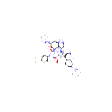 CC(c1ccnc2cc(N3CCCCC3)ccc12)C1(C(C)c2ccnc3cc(N4CCCCC4)ccc23)NC(=O)N(c2ccc(SC(F)(F)F)cc2)C1=O